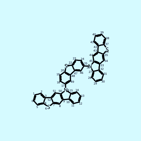 c1ccc2c(c1)sc1cc3c4ccccc4n(-c4ccc5sc6ccc(-n7c8ccccc8c8cc9sc%10ccccc%10c9cc87)cc6c5c4)c3cc12